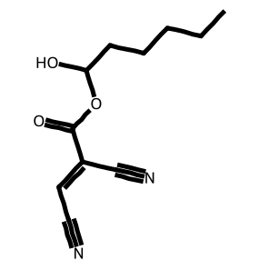 CCCCCC(O)OC(=O)C(C#N)=CC#N